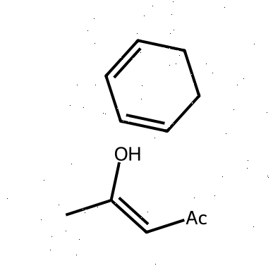 C1=CCCC=C1.CC(=O)/C=C(/C)O